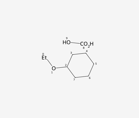 CCOC1CCCCC1.O=C(O)O